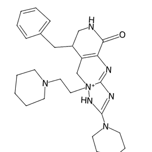 O=C1NCC(Cc2ccccc2)C2=C1N=C1N=C(N3CCOCC3)N[N+]1(CCN1CCCCC1)C2